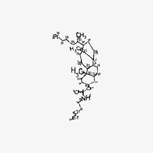 CCOCCNC(=O)O[C@H]1CC[C@@]2(C)C(=CCC3C4CCC(C(C)CCCC(C)C)[C@@]4(C)CCC32)C1